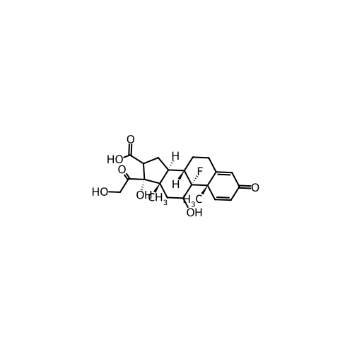 C[C@]12C=CC(=O)C=C1CC[C@H]1[C@@H]3CC(C(=O)O)[C@](O)(C(=O)CO)[C@@]3(C)CC(O)[C@@]12F